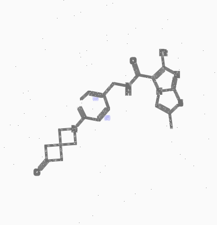 C=C(/C=C\C(=C/C)CNC(=O)c1c(CC)nc2sc(C)cn12)N1CC2(CC(=O)C2)C1